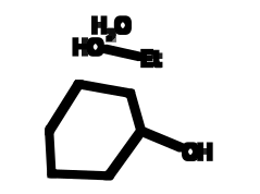 CCO.O.OC1CCCCC1